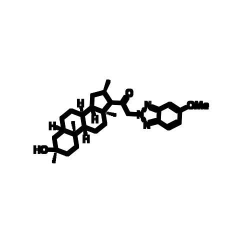 COc1ccc2nn(CC(=O)C3[C@H](C)C[C@H]4[C@@H]5CC[C@H]6C[C@](C)(O)CC[C@]6(C)[C@H]5CC[C@]34C)nc2c1